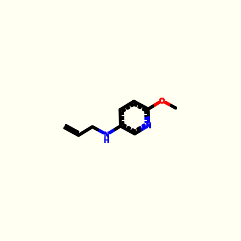 C=CCNc1ccc(OC)nc1